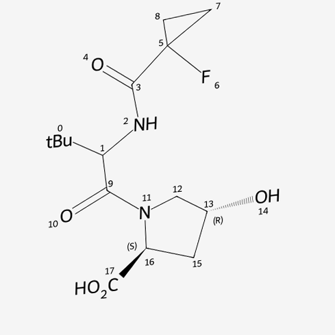 CC(C)(C)C(NC(=O)C1(F)CC1)C(=O)N1C[C@H](O)C[C@H]1C(=O)O